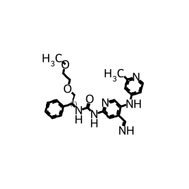 COCCOC[C@@H](NC(=O)Nc1cc(C=N)c(Nc2ccnc(C)c2)cn1)c1ccccc1